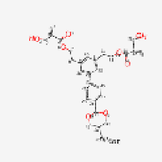 C=C(CO)C(=O)OCCc1cc(CCOC(=O)C(=C)CO)cc(-c2ccc(C3OCC(CCCCC)CO3)cc2)c1